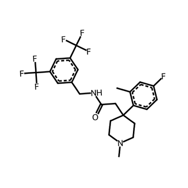 Cc1cc(F)ccc1C1(CC(=O)NCc2cc(C(F)(F)F)cc(C(F)(F)F)c2)CCN(C)CC1